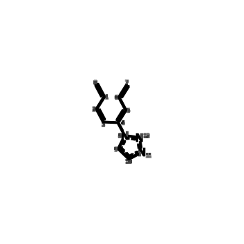 C=C/C=C\C(=C/C=C)n1ccnn1